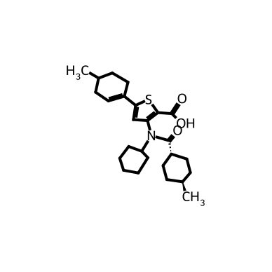 CC1CC=C(c2cc(N(C(=O)[C@H]3CC[C@H](C)CC3)C3CCCCC3)c(C(=O)O)s2)CC1